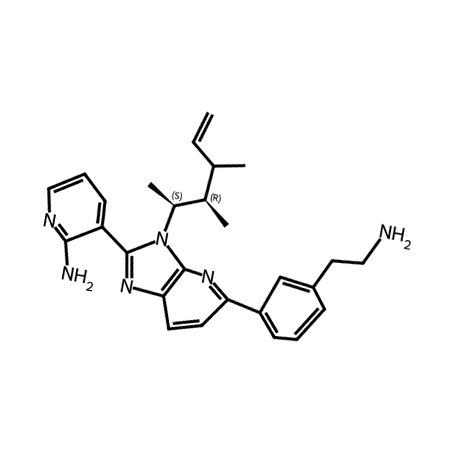 C=CC(C)[C@@H](C)[C@H](C)n1c(-c2cccnc2N)nc2ccc(-c3cccc(CCN)c3)nc21